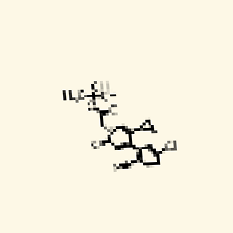 CC(C)(C)OC(=O)Cn1cc(C2CC2)c(-c2cc(Cl)ccc2C#N)cc1=O